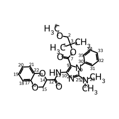 COCC(C)(C)OC(=O)c1c(NC(=O)C2COc3ccccc3O2)nc(N(C)C)n1-c1ccccc1